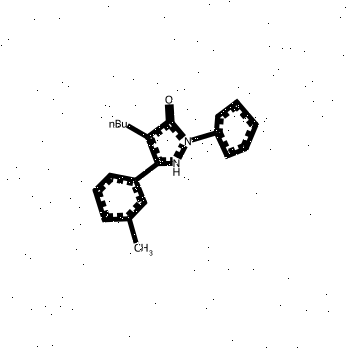 CCCCc1c(-c2cccc(C)c2)[nH]n(-c2ccccc2)c1=O